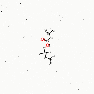 C=C(C)CC(C)(C)COC(=O)CC(C)C